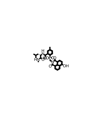 CNC(=O)[C@H](CC(C)C)NC(=O)c1cc(C)ccc1P(=O)(O)CN1C(=O)c2cccc3c(O)ccc(c23)C1=O